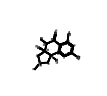 CCc1cc(Cl)c2c(c1)[C@H]1CN(C)C[C@@H]1N(C)C2=O